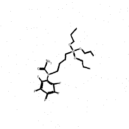 CCCO[Si](CCCCN(C(N)=O)c1c(F)c(F)c(F)c(F)c1F)(OCCC)OCCC